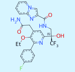 CCOc1c(CC(N)=O)cc([C@@](O)(CNC(=O)c2cn3ccccc3n2)C(F)(F)F)nc1-c1ccc(F)cc1